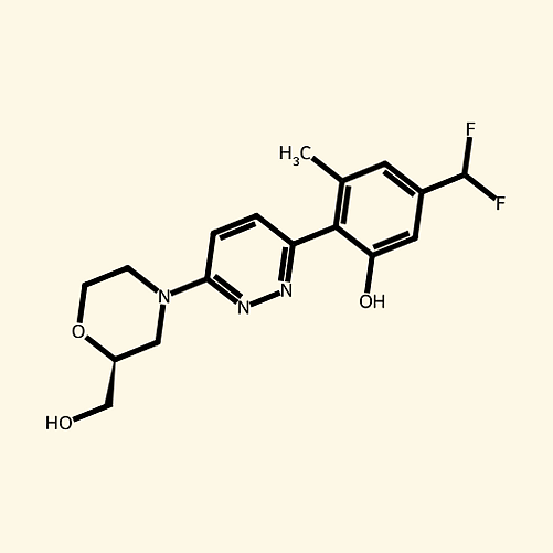 Cc1cc(C(F)F)cc(O)c1-c1ccc(N2CCO[C@H](CO)C2)nn1